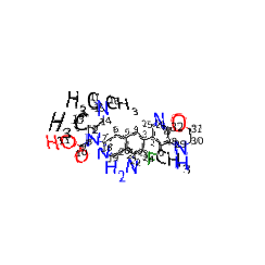 Cc1c(-c2cc3cc(N(C(=O)O)C(C)CN(C)C)ncc3c(N)c2F)cnc2c1NCCO2